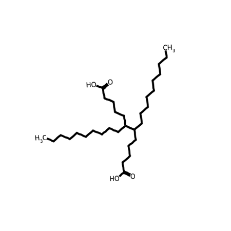 CCCCCCCCCCC(CCCCC(=O)O)C(CCCCCCCCCC)CCCCC(=O)O